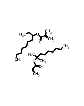 C=C(C)C(=O)OC(CC)CCCCCCC.C=CC(=O)OC(C)(C)CCCCCCC